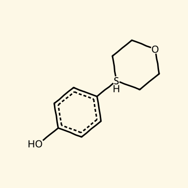 Oc1ccc([SH]2CCOCC2)cc1